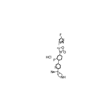 Cl.N#CC1(c2ccc(-c3ccc(N4C[C@H](Cn5cc(F)nn5)OC4=O)cc3F)cn2)C2CNCC21